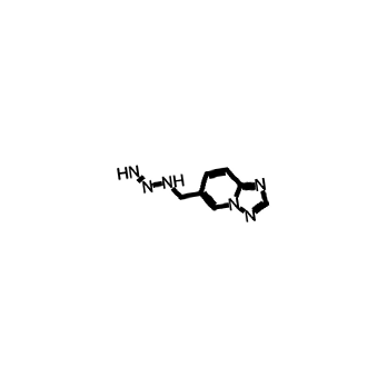 N=NNCc1ccc2ncnn2c1